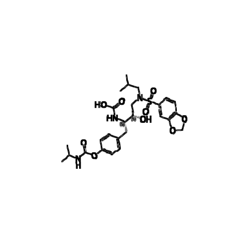 CC(C)CN(C[C@H](O)[C@H](Cc1ccc(OC(=O)NC(C)C)cc1)NC(=O)O)S(=O)(=O)c1ccc2c(c1)OCO2